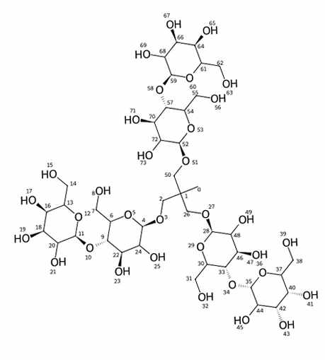 CC(CO[C@@H]1OC(CO)[C@@H](O[C@@H]2OC(CO)[C@H](O)[C@H](O)C2O)[C@H](O)C1O)(CO[C@@H]1OC(CO)[C@@H](O[C@@H]2OC(CO)[C@H](O)[C@H](O)C2O)[C@H](O)C1O)CO[C@@H]1OC(CO)[C@@H](O[C@@H]2OC(CO)[C@H](O)[C@H](O)C2O)[C@H](O)C1O